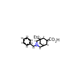 CCC12CC(CC(C(=O)O)C1)CN(Cc1ccccc1)C2